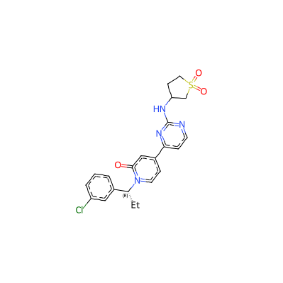 CC[C@H](c1cccc(Cl)c1)n1ccc(-c2ccnc(NC3CCS(=O)(=O)C3)n2)cc1=O